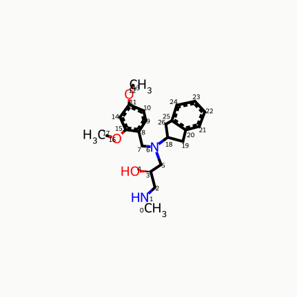 CNC[C@@H](O)CN(Cc1ccc(OC)cc1OC)C1Cc2ccccc2C1